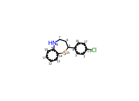 Clc1ccc(C2CCNc3ccccc3S2)cc1